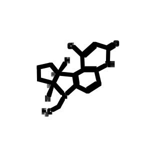 O=c1cc(Cl)c2c3c(ccc2[nH]1)N(CC(F)(F)F)[C@@H]1CCC[C@H]31